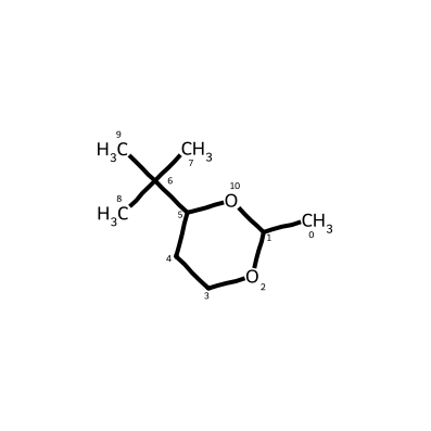 CC1OCCC(C(C)(C)C)O1